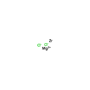 [Cl-].[Cl-].[Mg+2].[Zr]